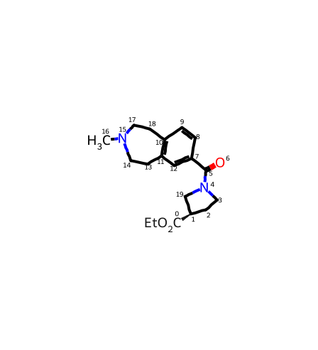 CCOC(=O)[C@@H]1CCN(C(=O)c2ccc3c(c2)CCN(C)CC3)C1